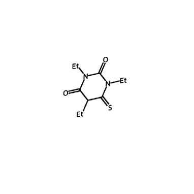 CCC1C(=O)N(CC)C(=O)N(CC)C1=S